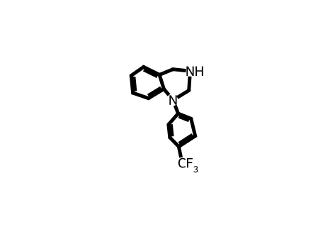 FC(F)(F)c1ccc(N2CNCc3ccccc32)cc1